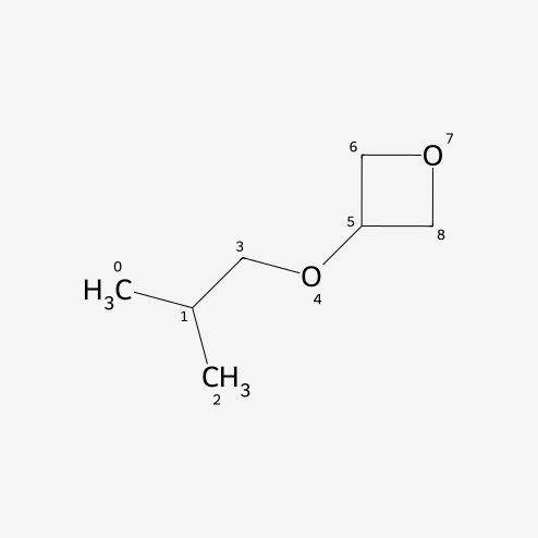 CC(C)COC1COC1